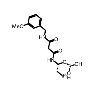 COc1cccc(CNC(=O)CC(=O)N[C@@H](CC(C)C)OB(O)O)c1